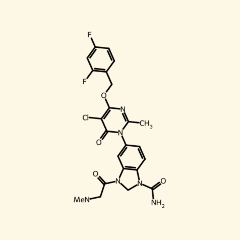 CNCC(=O)N1CN(C(N)=O)c2ccc(-n3c(C)nc(OCc4ccc(F)cc4F)c(Cl)c3=O)cc21